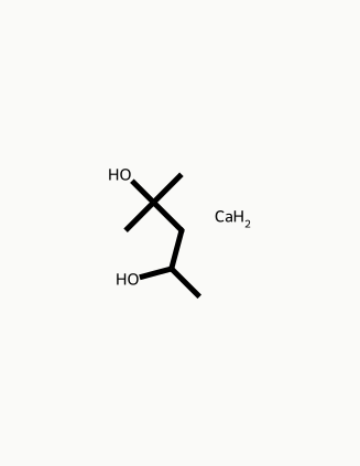 CC(O)CC(C)(C)O.[CaH2]